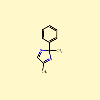 CC1=NC(C)(c2ccccc2)N=C1